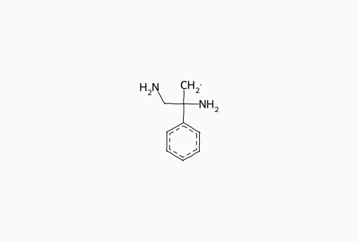 [CH2]C(N)(CN)c1ccccc1